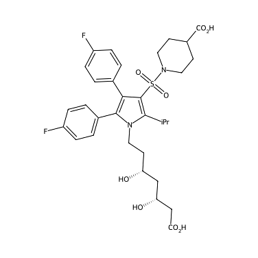 CC(C)c1c(S(=O)(=O)N2CCC(C(=O)O)CC2)c(-c2ccc(F)cc2)c(-c2ccc(F)cc2)n1CC[C@@H](O)C[C@@H](O)CC(=O)O